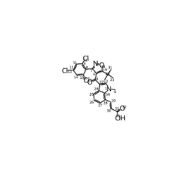 Cn1cc(C(=O)c2c(-c3c(Cl)cc(Cl)cc3Cl)noc2C(C)(C)C)c2cccc(/C=C/C(=O)O)c21